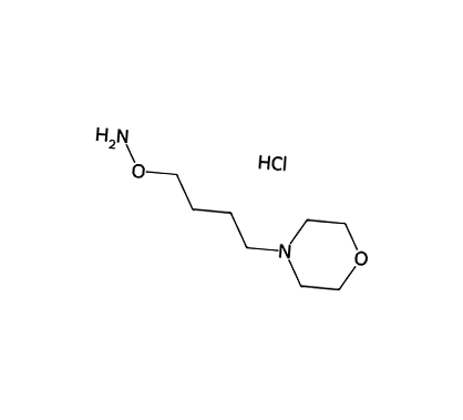 Cl.NOCCCCN1CCOCC1